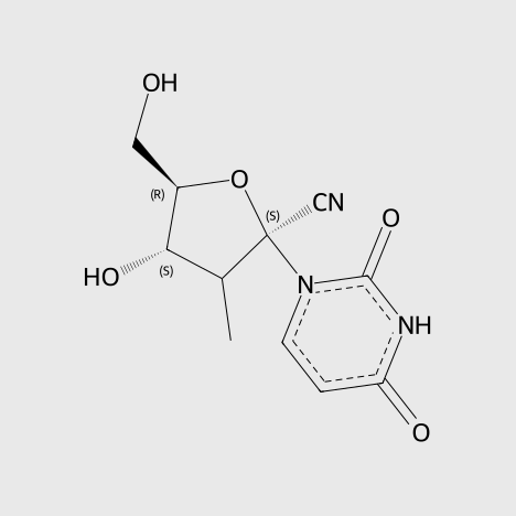 CC1[C@H](O)[C@@H](CO)O[C@@]1(C#N)n1ccc(=O)[nH]c1=O